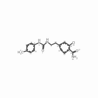 Cc1ccc(NC(=O)NCCc2ccc(C(N)=O)c(Cl)c2)cc1